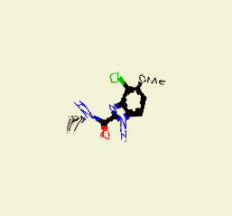 COc1ccc2[nH]c(C(=O)NC(C)C)nc2c1Cl